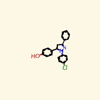 Oc1ccc(C2CC(c3ccccc3)=NN2c2ccc(Cl)cc2)cc1